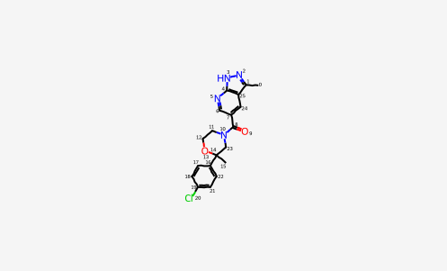 Cc1n[nH]c2ncc(C(=O)N3CCOC(C)(c4ccc(Cl)cc4)C3)cc12